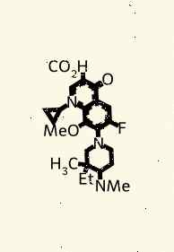 CCC1(C)CN(c2c(F)cc3c(=O)c(C(=O)O)cn(C4CC4)c3c2OC)CCC1NC